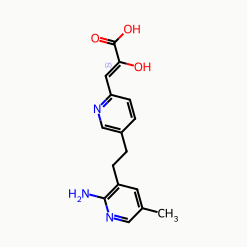 Cc1cnc(N)c(CCc2ccc(/C=C(\O)C(=O)O)nc2)c1